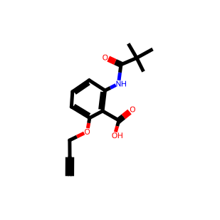 C#CCOc1cccc(NC(=O)C(C)(C)C)c1C(=O)O